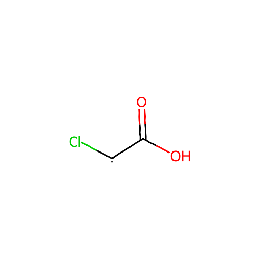 O=C(O)[CH]Cl